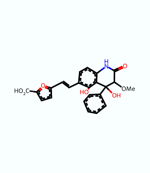 COC1C(=O)Nc2ccc(C=Cc3ccc(C(=O)O)o3)c(O)c2C1(O)c1ccccc1